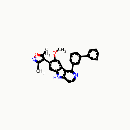 COc1cc2c(cc1-c1c(C)noc1C)[nH]c1ccnc(-c3cccc(-c4ccccc4)c3)c12